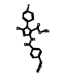 CCc1nc(NC(=O)c2ccc(N=[N+]=[N-])cc2)c(C(=O)OC(C)(C)C)n1-c1ccc(F)cc1